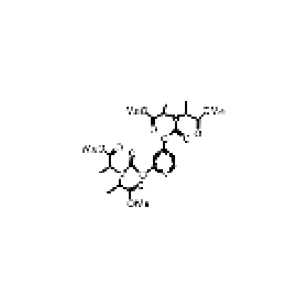 COC(=O)C(C)N(C(=O)Oc1ccnc(OC(=O)N(C(C)C(=O)OC)C(C)C(=O)OC)c1)C(C)C(=O)OC